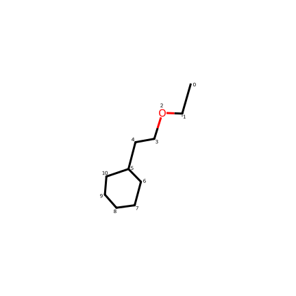 C[CH]OCCC1CCCCC1